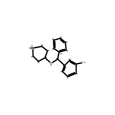 Fc1cccc(C(OC2CCNCC2)c2ccccc2)c1